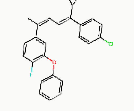 CC(=CC=C(c1ccc(Cl)cc1)C1CC1)c1ccc(F)c(Oc2ccccc2)c1